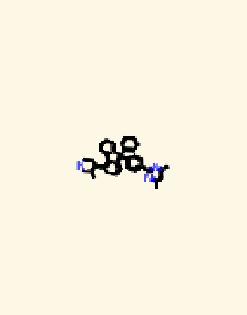 Cc1cc(C)nc(-c2ccc(C3(c4ccccc4)c4ccccc4-c4c(-c5ccncc5C)cccc43)cc2)n1